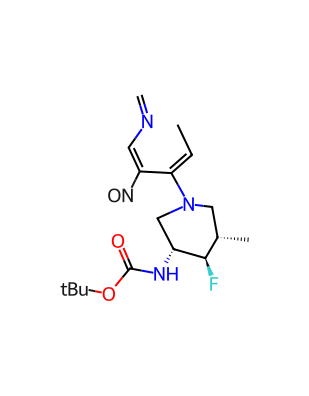 C=N/C=C(N=O)\C(=C/C)N1C[C@H](C)[C@@H](F)[C@H](NC(=O)OC(C)(C)C)C1